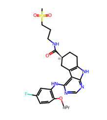 CCCOc1ccc(F)cc1Nc1ncnc2[nH]c3c(c12)C[C@@H](C(=O)NCCCS(C)(=O)=O)CC3